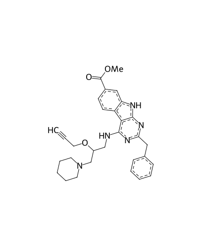 C#CCOC(CNc1nc(Cc2ccccc2)nc2[nH]c3cc(C(=O)OC)ccc3c12)CN1CCCCC1